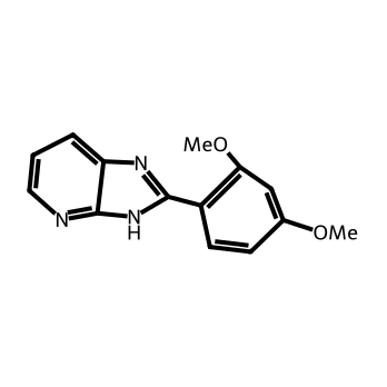 COc1ccc(-c2nc3cccnc3[nH]2)c(OC)c1